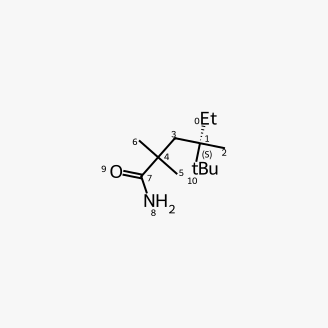 CC[C@@](C)(CC(C)(C)C(N)=O)C(C)(C)C